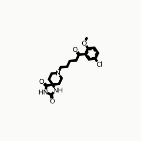 COc1ccc(Cl)cc1C(=O)CCCCN1CCC2(CC1)NC(=O)NC2=O